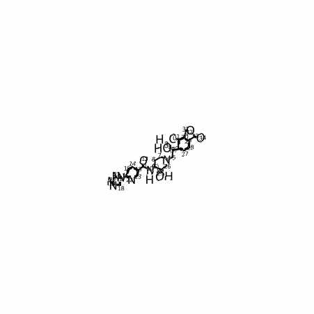 Cc1c([C@@H](O)CN2CC[C@H](NC(=O)c3ccc(-n4cnnn4)nc3)[C@H](O)C2)ccc2c1COC2=O